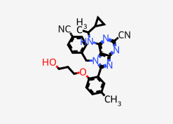 Cc1ccc(OCCCO)c(-c2nc3nc(C#N)nc(NC(C)C4CC4)c3n2Cc2ccc(C#N)cc2)c1